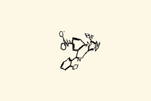 O=[N+]([O-])c1ccc2c(c1)C(c1ccccc1Cl)=NCc1nnc(Br)n1-2